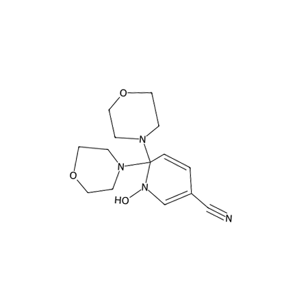 N#CC1=CN(O)C(N2CCOCC2)(N2CCOCC2)C=C1